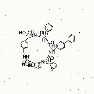 O=C1N[C@@H](C(=O)O)Cc2ccc(cc2)NC(=O)[C@H](O)[C@@H](O)C(=O)N[C@H](Cc2cccs2)C(=O)N[C@H](Cc2ccc(-c3ccccc3)cc2)C(=O)N[C@H]1Cc1ccccc1